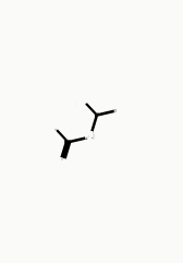 CC(C)NC(=O)[S]